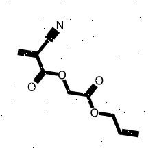 C=CCOC(=O)COC(=O)C(=C)C#N